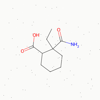 CCC1(C(N)=O)CCCCC1C(=O)O